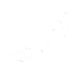 [2H]C([2H])([2H])Nc1nccc2cc(N3CCN(Cc4cnc5cc(CC)c(=O)[nH]c5c4)CC3)cnc12